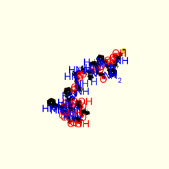 CC[C@H](C)[C@H](NC(=O)[C@@H](N)[C@@H](C)O)C(=O)N[C@H](C(=O)N[C@@H](CO)C(=O)NCC(=O)N[C@@H](Cc1c[nH]c2ccccc12)C(=O)N[C@H](C(=O)N[C@@H](Cc1ccccc1)C(=O)NCC(=O)N[C@@H](C)C(=O)NCC(=O)N[C@@H](C)C(=O)N[C@@H](C)C(=O)N[C@@H](CC(C)C)C(=O)N[C@@H](CCC(N)=O)C(=O)N[C@H](C(=O)N1CCC[C@H]1C(=O)N[C@@H](Cc1ccccc1)C(=O)N[C@@H](C)C(=O)N[C@@H](CCSC)C(=O)O)[C@@H](C)CC)[C@@H](C)O)[C@@H](C)O